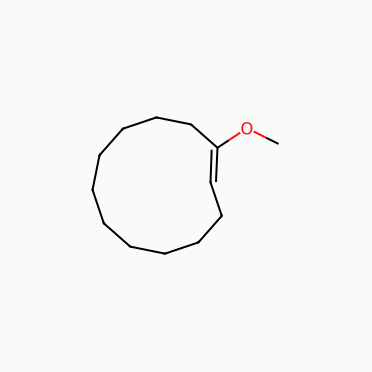 CO/C1=C\CCCCCCCCCC1